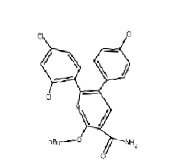 CCCCOc1nc(-c2ccc(Cl)cc2Cl)c(-c2ccc(Cl)cc2)cc1C(N)=O